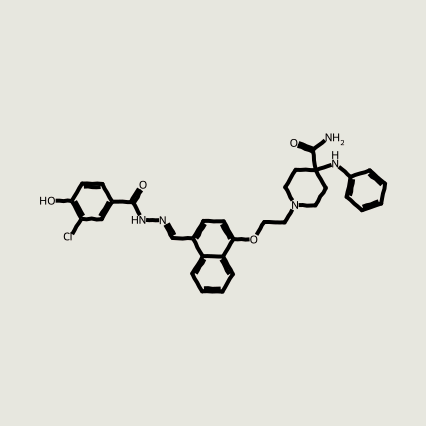 NC(=O)C1(Nc2ccccc2)CCN(CCOc2ccc(C=NNC(=O)c3ccc(O)c(Cl)c3)c3ccccc23)CC1